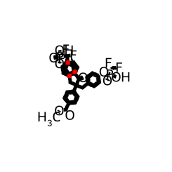 COC(=O)c1ccc(C(Cc2ccc(OP(=O)(O)C(F)F)cc2)(Cc2ccc(C(F)(F)P(=O)(O)O)cc2)C(=O)c2ccc(F)cc2)cc1